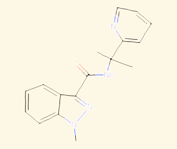 Cn1nc(C(=O)NC(C)(C)c2ccccn2)c2ccccc21